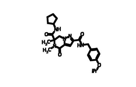 CC(C)Oc1ccc(CNC(=O)c2cc3n(n2)CC(C)(C(=O)NC2CCCC2)N(C)C3=O)cc1